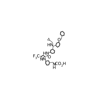 O=C(O)NCc1cccc(-n2nc(C(F)(F)F)cc2C(=O)Nc2cccc(C(NCC3CC3)c3cccc(OCc4ccccc4)c3)c2)c1